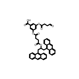 O=CCCC(=O)Oc1cc(OC(=O)CCC(=O)OC(Cc2c3ccccc3cc3ccccc23)Cc2c3ccccc3cc3ccccc23)cc(C(=O)O)c1